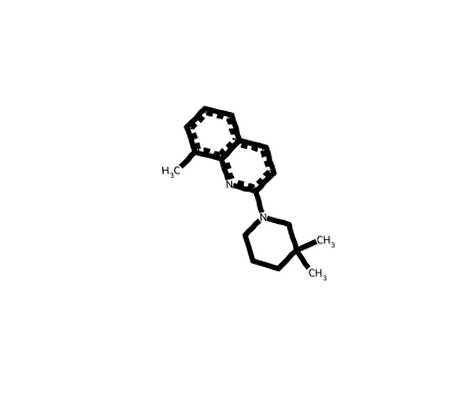 Cc1cccc2ccc(N3CCCC(C)(C)C3)nc12